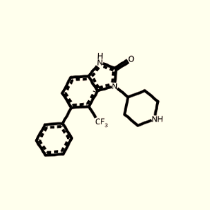 O=c1[nH]c2ccc(-c3ccccc3)c(C(F)(F)F)c2n1C1CCNCC1